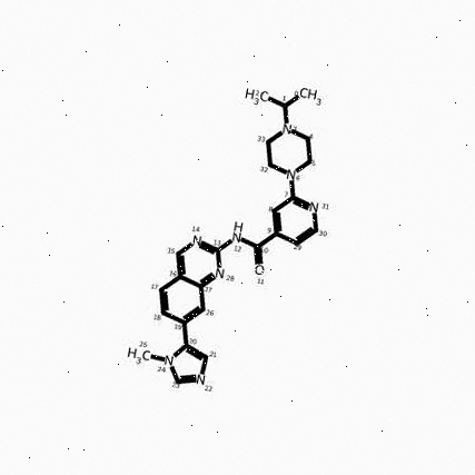 CC(C)N1CCN(c2cc(C(=O)Nc3ncc4ccc(-c5cncn5C)cc4n3)ccn2)CC1